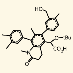 Cc1ccc(-c2c(C)c(-c3ccc(C)c(CO)c3)c(C(OC(C)(C)C)C(=O)O)c3c2N(C)C(=O)CC3)cc1C